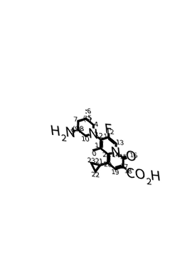 Cc1c(N2C[C@@H](C)C[C@H](N)C2)c(F)cn2c(=O)c(C(=O)O)cc(C3CC3)c12